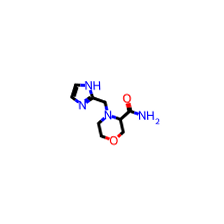 NC(=O)C1COCCN1Cc1ncc[nH]1